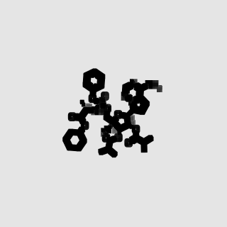 CC(C)C(=O)O[C@H]1[C@H](c2ccc3c(N)ncnn23)O[C@](C#N)(CO[P@@](=O)(N[C@@H](C)C(=O)OC2CCCCC2)Oc2ccccc2)[C@H]1OC(=O)C(C)C